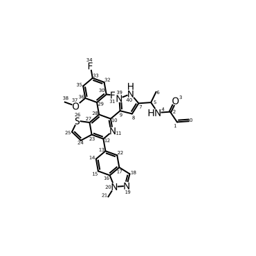 C=CC(=O)NC(C)c1cc(-c2nc(-c3ccc4c(cnn4C)c3)c3ccsc3c2-c2c(F)cc(F)cc2OC)n[nH]1